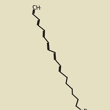 [CH]=CC=CC=CC=CC=CC=CCCCCCCCCCCCCCCCC